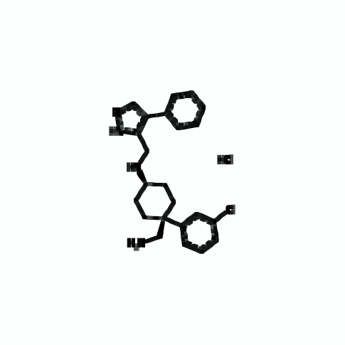 Cl.NC[C@]1(c2cccc(Cl)c2)CC[C@H](NCc2[nH]ncc2-c2ccccc2)CC1